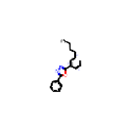 C\C=C/C(=C\C=C/CCC(C)C)c1nnc(-c2ccccc2)o1